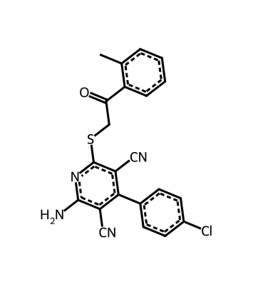 Cc1ccccc1C(=O)CSc1nc(N)c(C#N)c(-c2ccc(Cl)cc2)c1C#N